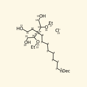 CCCCCCCCCCCCCCCCCC[N+](CCO)(C(CO)OCC)C(CO)OCC.[Cl-]